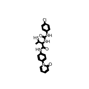 CC(S)C(NC(=O)Nc1ccc(Cl)cc1)C(=O)Nc1ccc(-n2ccccc2=O)cc1